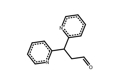 O=CCC(c1ccccn1)c1ccccn1